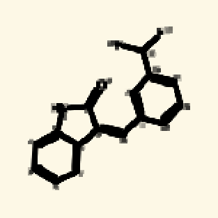 O=C1Nc2ccccc2C1=Cc1cccc(C(F)F)c1